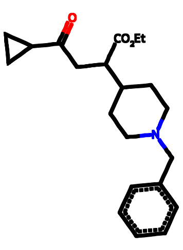 CCOC(=O)C(CC(=O)C1CC1)C1CCN(Cc2ccccc2)CC1